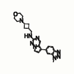 Cn1nnc2ccc(-c3ccn4nc(NCC5CC(N6CCOCC6)C5)ncc34)cc21